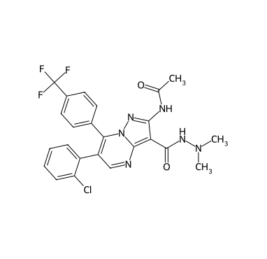 CC(=O)Nc1nn2c(-c3ccc(C(F)(F)F)cc3)c(-c3ccccc3Cl)cnc2c1C(=O)NN(C)C